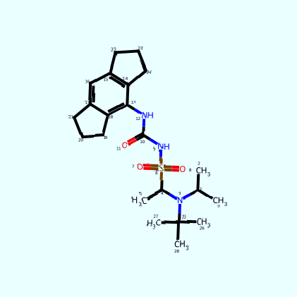 CC(C)N(C(C)S(=O)(=O)NC(=O)Nc1c2c(cc3c1CCC3)CCC2)C(C)(C)C